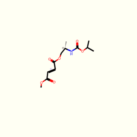 COC(=O)/C=C/C(=O)OC[C@H](C)NC(=O)OC(C)C